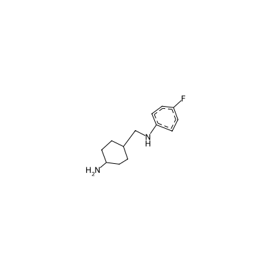 NC1CCC(CNc2ccc(F)cc2)CC1